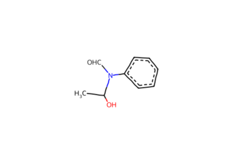 CC(O)N(C=O)c1ccccc1